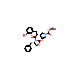 CC(C)(C)OC(=O)N1CC[C@@H](C(Cc2cccc(Br)c2)C(=O)N2C(=O)OC[C@H]2Cc2ccccc2)C1